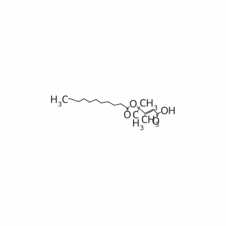 CCCCCCCCCCC(=O)OC(C)(C)C(C)=CC(=O)O